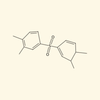 Cc1ccc(S(=O)(=O)C2=CC(C)C(C)C=C2)cc1C